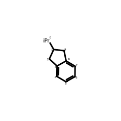 CC(C)C1Cc2c[c]ccc2C1